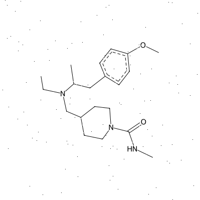 CCN(CC1CCN(C(=O)NC)CC1)C(C)Cc1ccc(OC)cc1